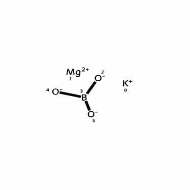 [K+].[Mg+2].[O-]B([O-])[O-]